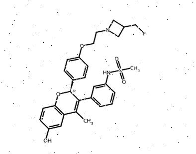 CC1=C(c2cccc(NS(C)(=O)=O)c2)[C@H](c2ccc(OCCN3CC(CF)C3)cc2)Oc2ccc(O)cc21